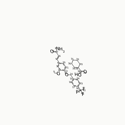 COc1cc(/C=C/C(N)=O)ccc1OCc1ccc(C(F)(F)F)cc1.O=C(O)C1CCCCC1